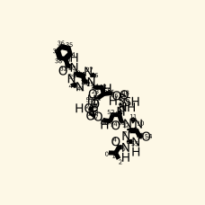 CC(C)C(=O)Nc1nc2c(ncn2[C@@H]2O[C@@H]3COP(=O)(O)O[C@@H]4O[C@@H](n5cnc6c(NC(=O)c7ccccc7)ncnc65)C[C@@H]4CO[SH](=O)(S)N[C@@H]2C3)c(=O)[nH]1